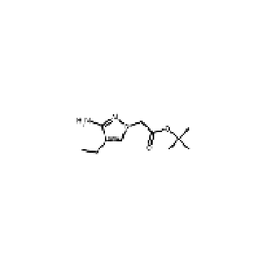 CCc1cn(CC(=O)OC(C)(C)C)nc1N